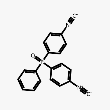 [C-]#[N+]c1ccc(P(=O)(c2ccccc2)c2ccc([N+]#[C-])cc2)cc1